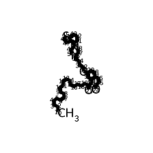 CCC/C=C\C/C=C\C/C=C\C/C=C\C/C=C\CCCC(=O)n1c(=O)ccc2ccc(OCCCCN3CCN(c4cccc5sccc45)CC3)cc21